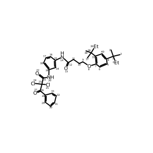 CCC(C)(C)c1ccc(OCCCC(=O)Nc2cccc(NC(=O)C(Cl)(Cl)C(=O)c3ccccc3)c2)c(C(C)(C)CC)c1